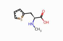 CN[C@@H](Cc1cccs1)C(=O)O